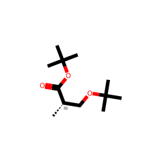 C[C@@H](COC(C)(C)C)C(=O)OC(C)(C)C